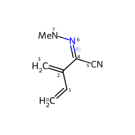 C=CC(=C)/C(C#N)=N\NC